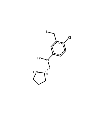 CC(C)N(C[C@@H]1CCCN1)c1ccc(Cl)c(CI)c1